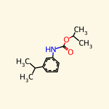 CC(C)OC(=O)Nc1cccc(C(C)C)c1